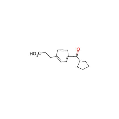 O=C(O)CCc1ccc(C(=O)C2CCCC2)cc1